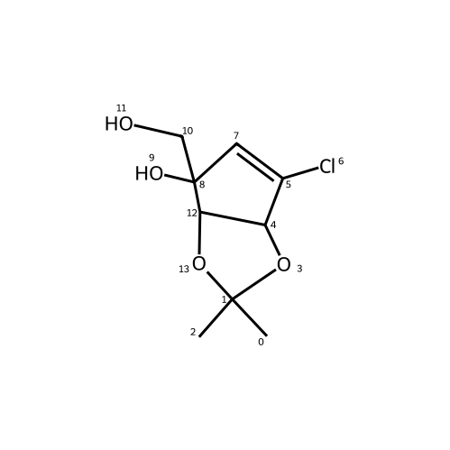 CC1(C)OC2C(Cl)=CC(O)(CO)C2O1